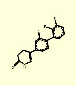 O=C1CCC(c2ccc(-c3cccc(F)c3F)c(F)c2)=NN1